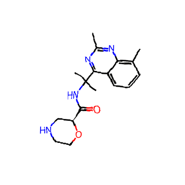 Cc1nc(C(C)(C)NC(=O)[C@@H]2CNCCO2)c2cccc(C)c2n1